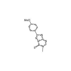 COc1ccc(-c2nc3ncn(C)c(=S)n3n2)cc1